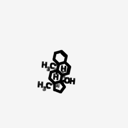 C[C@@]12CCC[C@@]1(O)[C@@H]1C=CC3C=CCC[C@]3(C)[C@H]1CC2